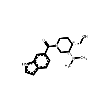 CN(C)[C@@H]1CN(C(=O)c2ccc3cc[nH]c3c2)CC[C@@H]1CO